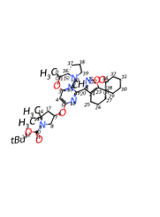 C[C@H](Oc1cc(OC2CN(C(=O)OC(C)(C)C)C(C)(C)C2)nc(-c2noc3c2CCC[C@@]32CCCCC2=O)n1)[C@@H]1CCCN1C